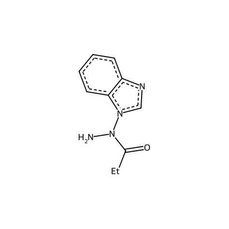 CCC(=O)N(N)n1cnc2ccccc21